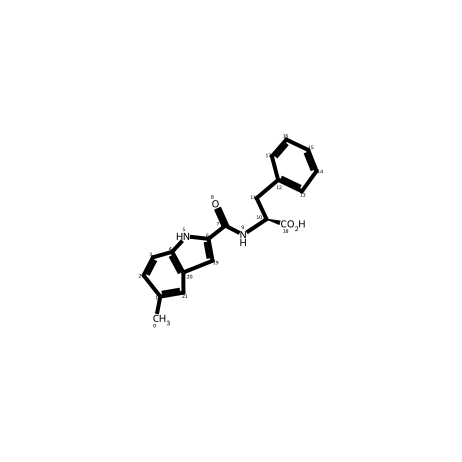 Cc1ccc2[nH]c(C(=O)N[C@@H](Cc3ccccc3)C(=O)O)cc2c1